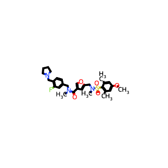 COc1cc(C)c(S(=O)(=O)N(C)Cc2cc(C(=O)N(C)Cc3ccc(CN4CCCC4)c(F)c3)co2)c(C)c1